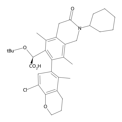 Cc1c(-c2c(C)c3c(c(C)c2[C@H](OC(C)(C)C)C(=O)O)CC(=O)N(C2CCCCC2)C3)cc(Cl)c2c1CCCO2